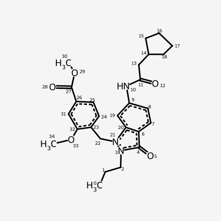 CCCn1c(=O)c2ccc(NC(=O)CC3CCCC3)cc2n1Cc1ccc(C(=O)OC)cc1OC